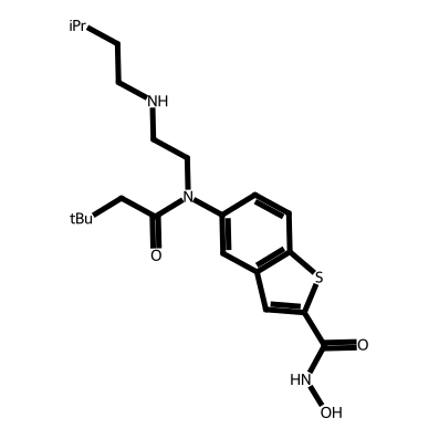 CC(C)CCNCCN(C(=O)CC(C)(C)C)c1ccc2sc(C(=O)NO)cc2c1